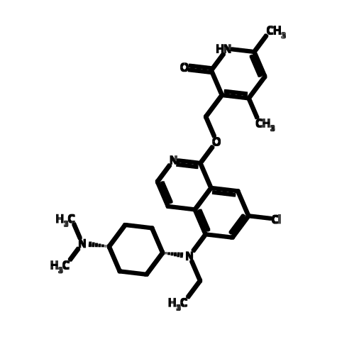 CCN(c1cc(Cl)cc2c(OCc3c(C)cc(C)[nH]c3=O)nccc12)[C@H]1CC[C@@H](N(C)C)CC1